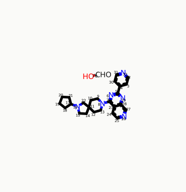 O=CO.c1cc(-c2nc(N3CCC4(CC3)CCN(C3CCCC3)C4)c3ccncc3n2)ccn1